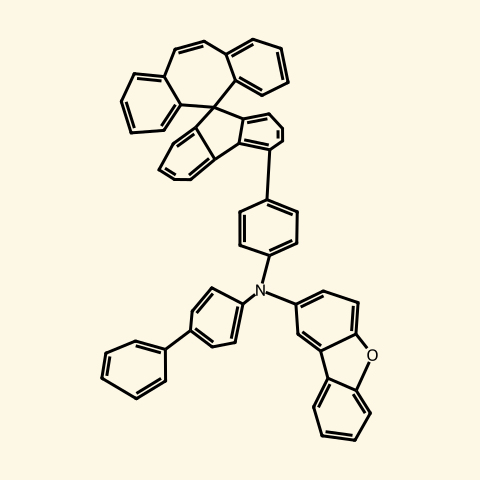 C1=Cc2ccccc2C2(c3ccccc31)c1ccccc1-c1c(-c3ccc(N(c4ccc(-c5ccccc5)cc4)c4ccc5oc6ccccc6c5c4)cc3)cccc12